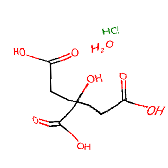 Cl.O.O=C(O)CC(O)(CC(=O)O)C(=O)O